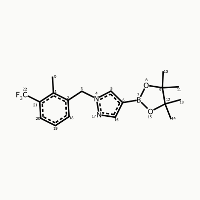 Cc1c(Cn2cc(B3OC(C)(C)C(C)(C)O3)cn2)cccc1C(F)(F)F